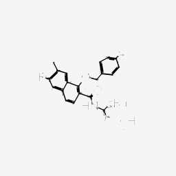 Cc1cc2c(OCc3ccc(C(F)(F)F)cc3)c(C(=O)NC(C(=O)O)C(C)(C)C)ccc2cc1F